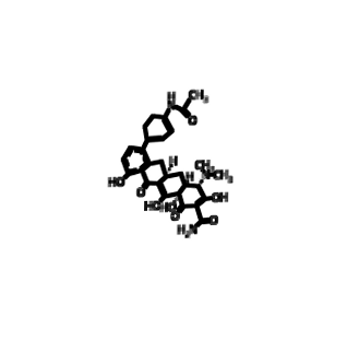 CC(=O)NC1=CC=C(c2ccc(O)c3c2C[C@H]2C[C@H]4[C@H](N(C)C)C(O)=C(C(N)=O)C(=O)[C@@]4(O)C(O)=C2C3=O)CC1